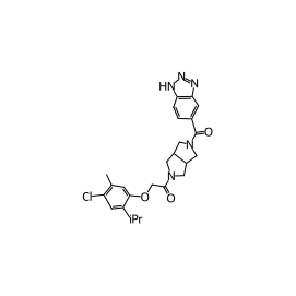 Cc1cc(OCC(=O)N2CC3CN(C(=O)c4ccc5[nH]nnc5c4)CC3C2)c(C(C)C)cc1Cl